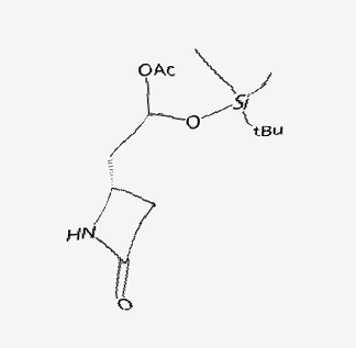 CC(=O)OC(C[C@@H]1CC(=O)N1)O[Si](C)(C)C(C)(C)C